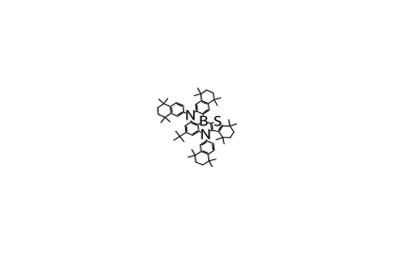 CC(C)(C)c1cc2c3c(c1)N(c1ccc4c(c1)C(C)(C)CCC4(C)C)c1c(sc4c1C(C)(C)CCC4(C)C)B3c1cc3c(cc1N2c1ccc2c(c1)C(C)(C)CCC2(C)C)C(C)(C)CCC3(C)C